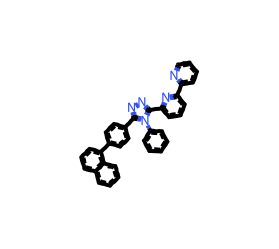 c1ccc(-n2c(-c3ccc(-c4cccc5ccccc45)cc3)nnc2-c2cccc(-c3ccccn3)n2)cc1